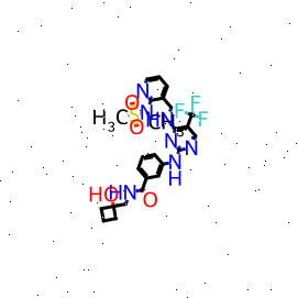 CN(c1ncccc1CNc1nc(Nc2cccc(C(=O)NCC3(O)CCC3)c2)ncc1C(F)(F)F)S(C)(=O)=O